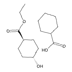 CCOC(=O)[C@H]1CC[C@H](O)CC1.O=C(O)C1CCCCC1